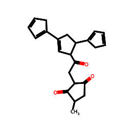 CC1CC(=O)C(CC(=O)C2C=C(C3=CC=CC3)CC2C2=CC=CC2)C1=O